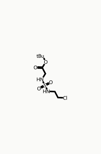 CC(C)(C)OC(=O)CNS(=O)(=O)NCCCl